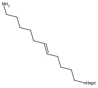 CCCCCCCCCCCC=CCCCCCN